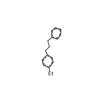 CCc1ccc(CCCc2ccccc2)cc1